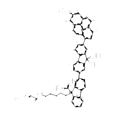 C=CC(=O)OCCCCCC1(C(=C)CC)c2ccccc2-c2ccc(-c3ccc4c(c3)C(C)(C(F)(F)F)c3cc(-c5ccc6ccc7cc(C(C)(C)C)cc8ccc5c6c78)ccc3-4)cc21